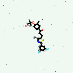 Cc1cc(C(=O)CCc2sc(-c3cc(F)cc(F)c3)nc2C(C)C)ccc1OC(C)(C)CO